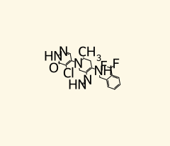 C[C@@H]1CC(NCc2ccccc2C(F)F)=C(N=N)CN1c1cn[nH]c(=O)c1Cl